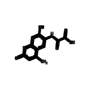 Cc1cc(=O)oc2cc(O)c(NC(=O)C(=O)O)cc12